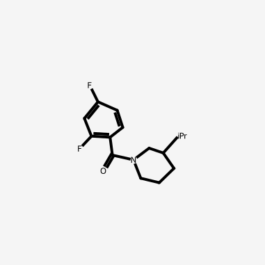 CC(C)C1CCCN(C(=O)c2ccc(F)cc2F)C1